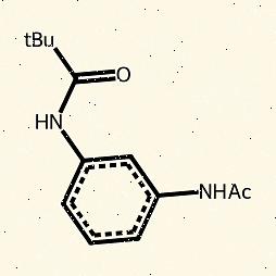 CC(=O)Nc1cccc(NC(=O)C(C)(C)C)c1